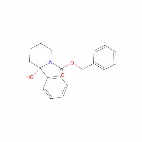 O=C(OCc1ccccc1)N1CCCC[C@]1(O)c1ccccc1